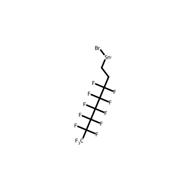 FC(F)(F)C(F)(F)C(F)(F)C(F)(F)C(F)(F)C(F)(F)C[CH2][Sn][Br]